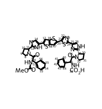 COC(=O)N[C@@H](C(=O)N1CCCC1c1ncc(-c2cc3sc(-c4cnc(-c5c[nH]c([C@@H]6CCCN6C(=O)[C@H](NC(=O)O)c6ccccc6)n5)s4)cc3s2)[nH]1)c1ccccc1